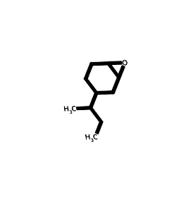 CCC(C)C1CCC2OC2C1